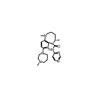 C[C@@H]1CCCN(C)c2ccc(N3CCCN(C)CC3)nc2N1C(=O)Nc1ccncn1